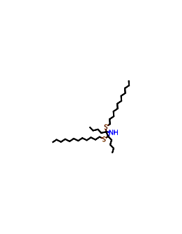 CCCCCCCCCCCCSC1(CCCC)NC1(CCCC)SCCCCCCCCCCCC